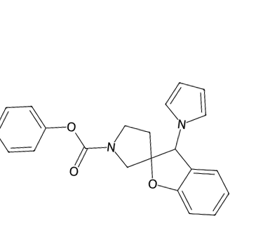 O=C(Oc1ccccc1)N1CCC2(C1)Oc1ccccc1C2n1cccc1